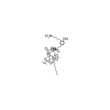 C/C=C(/C)C(=O)OC1C(C)=C2[C@H]([C@@H]1OC(=O)CCCCCCC)[C@@](C)(OC(C)=O)CC(OC(=O)CCc1ccc(O)c(CCCCCN)c1)[C@@]1(O)[C@H]2OC(=O)[C@@]1(C)O